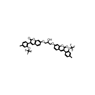 Cc1ccc(-c2cc3ccc(OCC(O)COc4ccc5cc(-c6ccc(C)cc6OC(F)(F)F)c(=O)oc5c4)cc3oc2=O)c(OC(F)(F)F)c1